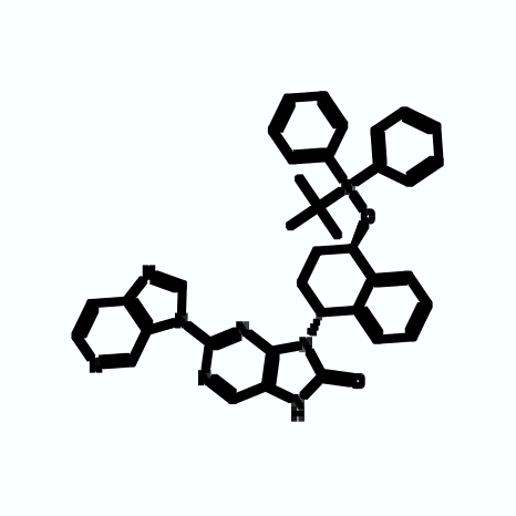 CC(C)(C)[Si](O[C@@H]1CC[C@@H](n2c(=O)[nH]c3cnc(-n4cnc5ccncc54)nc32)c2ccccc21)(c1ccccc1)c1ccccc1